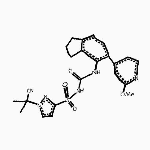 COc1cc(-c2ccc3c(c2NC(=O)NS(=O)(=O)c2ccn(C(C)(C)C#N)n2)CCC3)ccn1